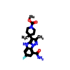 Cc1nn2c([nH]c3cc(F)cc(C(N)=O)c32)c1C1(C)CCN(C(=O)OC(C)(C)C)CC1